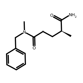 C[C@@H](C[CH]C(=O)N(C)Cc1ccccc1)C(N)=O